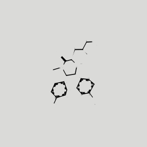 CN1C(=O)[C@@H](C[C@H](O)CO)O[C@H](c2ccc(Cl)cc2)[C@@H]1c1ccc(Cl)cc1